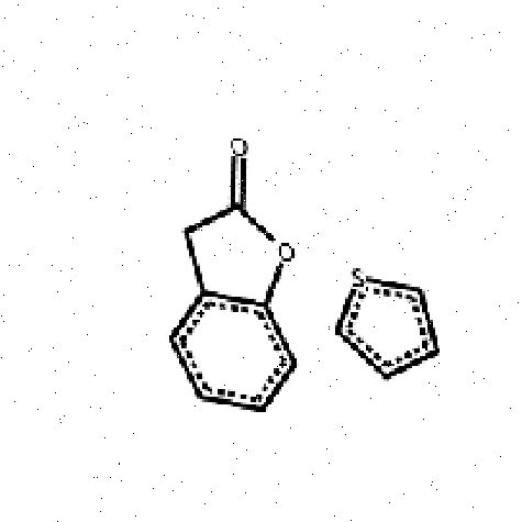 O=C1Cc2ccccc2O1.c1ccsc1